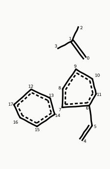 C=C(C)C.C=Cc1ccccc1.c1ccccc1